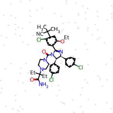 CCOc1cc(C(C)(C)C#N)c(Cl)cc1C1=N[C@@H](c2ccc(Cl)cc2)[C@@H](c2ccc(Cl)cc2)N1C(=O)N1CCN(C(CC)(CC)C(N)=O)CC1